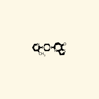 Cc1cccnc1N1CCN(c2c#cc(=O)c3sccc3n2)CC1